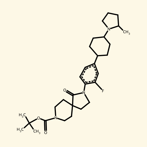 CC1CCCN1C1CCC(c2ccc(N3CCC4(CCN(C(=O)OC(C)(C)C)CC4)C3=O)c(F)c2)CC1